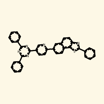 c1ccc(-c2nc(-c3ccccc3)nc(-c3ccc(-c4ccc5c(ccc6nc(-c7ccccc7)sc65)c4)nc3)n2)cc1